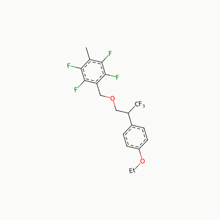 CCOc1ccc(C(COCc2c(F)c(F)c(C)c(F)c2F)C(F)(F)F)cc1